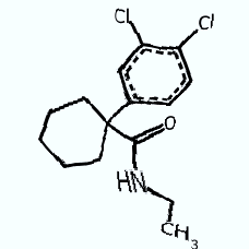 CCNC(=O)C1(c2ccc(Cl)c(Cl)c2)CCCCC1